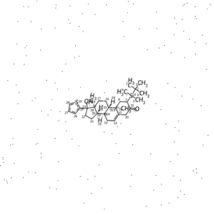 CC(C)(C)[Si](C)(C)C1C[C@@]2(C)C(=CC[C@@H]3[C@@H]2CC[C@@]2(C)[C@H]3CCC2(O)c2cccs2)CC1=O